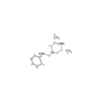 C[C@@H]1CN(CNc2ccccc2)C[C@H](C)N1